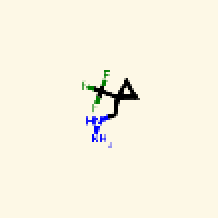 NNCC1(C(F)(F)F)CC1